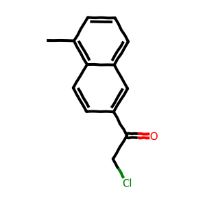 Cc1cccc2cc(C(=O)CCl)ccc12